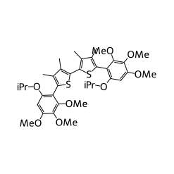 COc1cc(OC(C)C)c(-c2sc(-c3sc(-c4c(OC(C)C)cc(OC)c(OC)c4OC)c(C)c3C)c(C)c2C)c(OC)c1OC